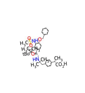 CC(C(=O)O)c1ccc(CC(C)(C)NC[C@H](O[Si](C)(C)C(C)(C)C)c2ccc(OCc3ccccc3)c(NS(C)(=O)=O)c2)cc1